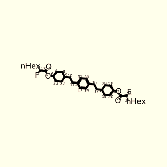 CCCCCC[C@H](F)C(=O)OC1CCC(CCc2ccc(CCC3CCC(OC(=O)[C@@H](F)CCCCCC)CC3)cc2)CC1